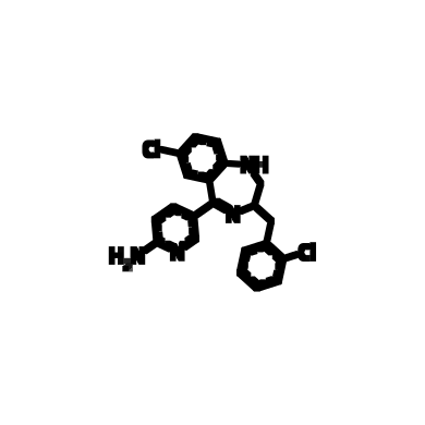 Nc1ccc(C2=NC(Cc3ccccc3Cl)CNc3ccc(Cl)cc32)cn1